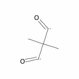 CC(C)([C]=O)[C]=O